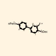 CCCCCCCCCCc1ccc(-c2ccc(CCCCC)cc2)nc1F